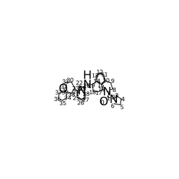 O=C(N1CCCC1)N1CCc2cccc3c2C1CCC3NCC[C@@]1(c2ccccn2)CCOC2(CCCC2)C1